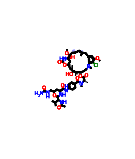 COc1cc2cc(c1Cl)N(C)CC[C@H](OC(=O)[C@H](C)N(C)C(=O)C1=CC=C(NC(=O)C(CCCNC(N)=O)NC(=O)[C@@H](NC(C)=O)C(C)C)CC1)[C@@H](C)[C@@H](O)C[C@@H]1C[C@@](O)(NC(=O)O1)[C@H](OC)/C=C/C=C(\C)C2